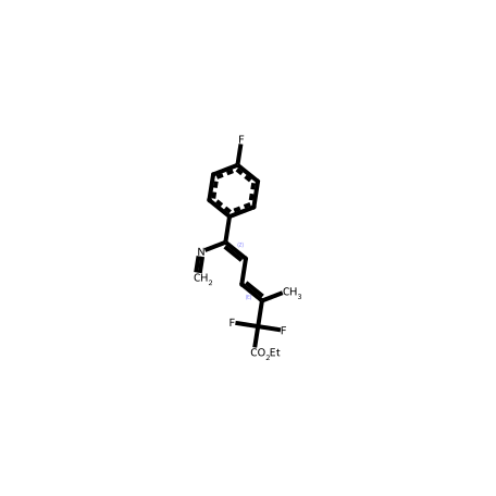 C=N/C(=C\C=C(/C)C(F)(F)C(=O)OCC)c1ccc(F)cc1